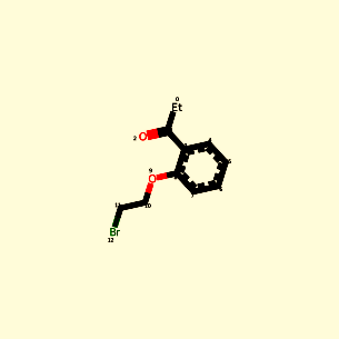 CCC(=O)c1ccccc1OCCBr